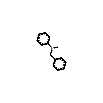 ClN(Cc1ccccc1)c1cc[c]cc1